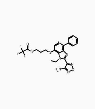 CCn1c(-c2nonc2N)nc2c(-c3ccccc3)ncc(OCCCOC(=O)C(F)(F)F)c21